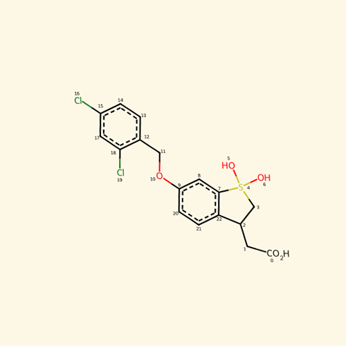 O=C(O)CC1CS(O)(O)c2cc(OCc3ccc(Cl)cc3Cl)ccc21